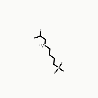 FC(F)C[SiH2]CCCC[Si](F)(F)F